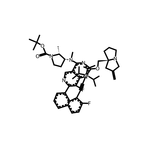 C=C1CN2CCC[C@@]2(COc2nc(N(C)[C@@H]3CCN(C(=O)OC(C)(C)C)[C@@H]3C)c3cnc(-c4cccc5ccc(F)c(C#C[Si](C(C)C)(C(C)C)C(C)C)c45)c(F)c3n2)C1